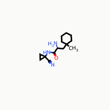 CC1(C[C@H](N)C(=O)NC2(C#N)CC2)CCCCC1